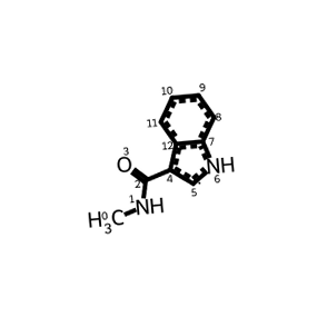 CNC(=O)c1[c][nH]c2ccccc12